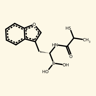 CC(S)C(=O)N[C@@H](Cc1coc2ccccc12)B(O)O